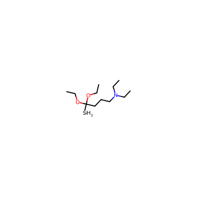 CCOC([SiH3])(CCCN(CC)CC)OCC